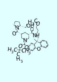 COCCCCC1(CNC(=O)[C@H]2C[C@@H](C(=O)N3CCC[C@@H]3CO)CN(C(=O)OC(C)(C)C)C2)c2ccccc2Oc2ccccc21